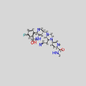 CNC(=O)c1ccc(N2CCN(Cc3cnc4c(c3)NC(O)c3cc(F)ccc3-4)C[C@@H]2CC#N)cn1